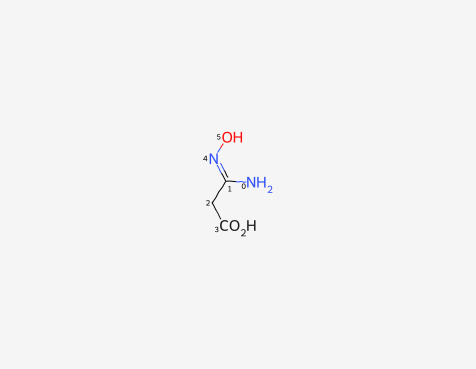 N/C(CC(=O)O)=N\O